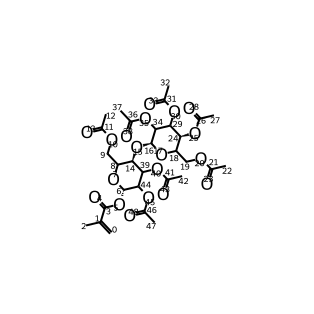 C=C(C)C(=O)O[C@@H]1OC(COC(C)=O)[C@@H](O[C@@H]2OC(COC(C)=O)[C@H](OC(C)=O)C(OC(C)=O)C2OC(C)=O)C(OC(C)=O)C1OC(C)=O